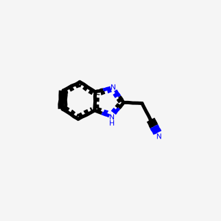 N#CCc1nc2cc#ccc2[nH]1